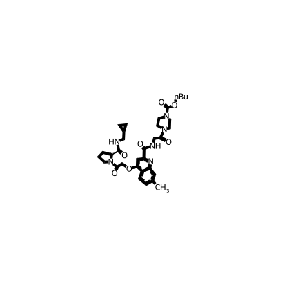 CCCCOC(=O)N1CCN(C(=O)CNC(=O)c2cc(OCC(=O)N3CCC[C@H]3C(=O)NCC3CC3)c3ccc(C)cc3n2)CC1